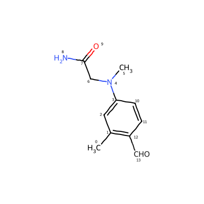 Cc1cc(N(C)CC(N)=O)ccc1C=O